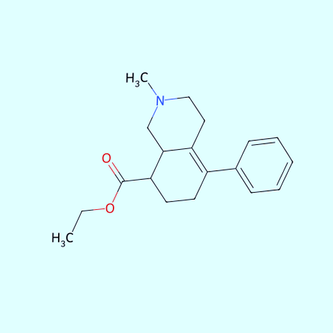 CCOC(=O)C1CCC(c2ccccc2)=C2CCN(C)CC21